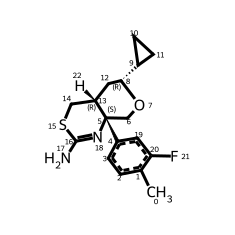 Cc1ccc([C@]23CO[C@@H](C4CC4)C[C@H]2CSC(N)=N3)cc1F